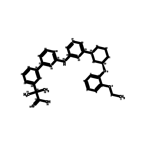 CCOc1ccccc1O[C@@H]1CCCN(c2cncc(Nc3nccc(-c4cccc(C(C)(C)C(=O)O)c4)n3)n2)C1